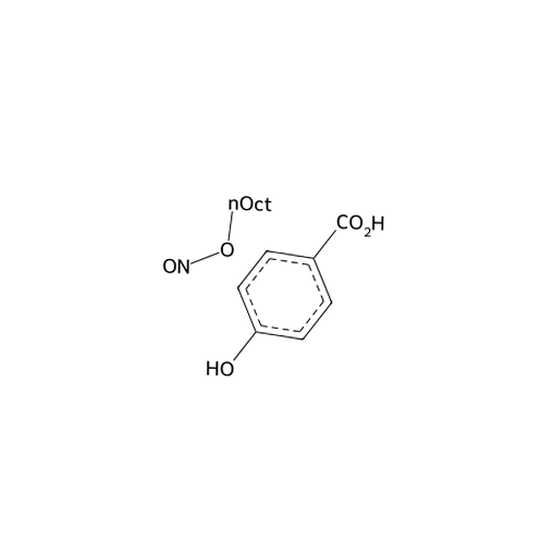 CCCCCCCCON=O.O=C(O)c1ccc(O)cc1